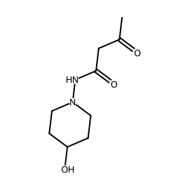 CC(=O)CC(=O)NN1CCC(O)CC1